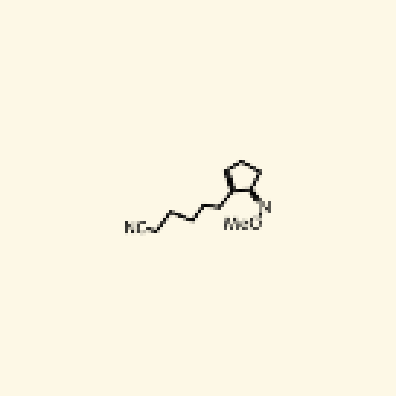 CON=C1CCC=C1CCCCCC#N